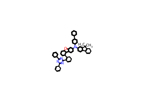 CC1(C)C2=C(C=CCC2)c2ccc(N(c3ccc(-c4ccccc4)cc3)c3ccc4c(c3)oc3cccc(C5=C(c6nc(-c7ccccc7)nc(C7C=CC=CC7)n6)C=CCC5)c34)cc21